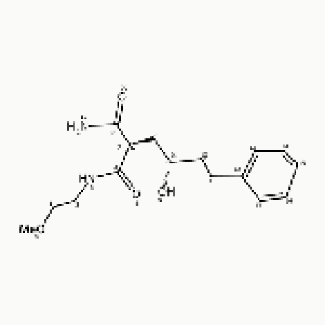 COCCNC(=O)[C@H](C[C@@H](O)[CH]Cc1ccccc1)C(N)=O